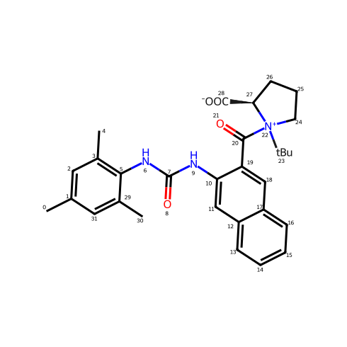 Cc1cc(C)c(NC(=O)Nc2cc3ccccc3cc2C(=O)[N+]2(C(C)(C)C)CCC[C@@H]2C(=O)[O-])c(C)c1